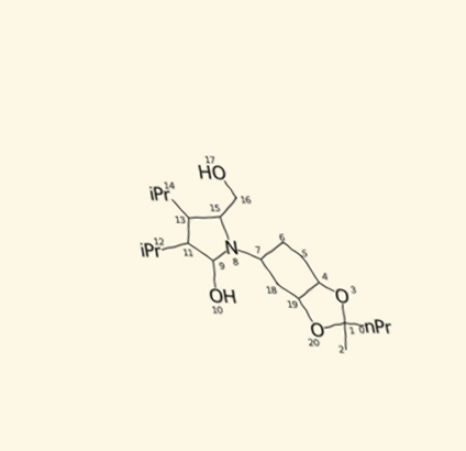 CCCC1(C)OC2CCC(N3C(O)C(C(C)C)C(C(C)C)C3CO)CC2O1